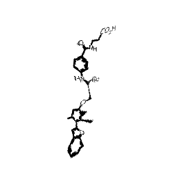 CC[C@H](C)[C@@H](COc1cc(C)c(-c2cc3ccccc3o2)c(C)c1)Nc1ccc(C(=O)NCCC(=O)O)cc1